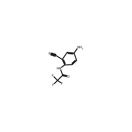 N#Cc1cc(N)ccc1NC(=O)C(F)(F)F